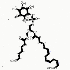 CCCCC/C=C\C/C=C\C/C=C\CCCCC(=O)O[C@H](COC(=O)CCCCCCCCCCCCCCC)COP(=O)(O)OC1C(O)C(O)C(O)[C@@H](O)C1O